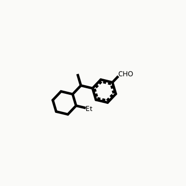 CCC1CCCCC1C(C)c1cccc(C=O)c1